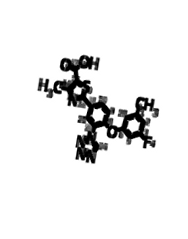 Cc1cc(F)cc(Oc2ccc(-c3nc(C)c(C(=O)O)s3)cc2-n2cnnn2)c1